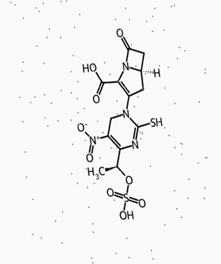 C[C@H](OS(=O)(=O)O)C1=C([N+](=O)[O-])CN(C2=C(C(=O)O)N3C(=O)C[C@H]3C2)C(S)=N1